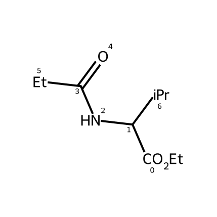 CCOC(=O)C(NC(=O)CC)C(C)C